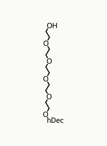 CCCCCCCCCCOCCOCCOCCOCCOCCO